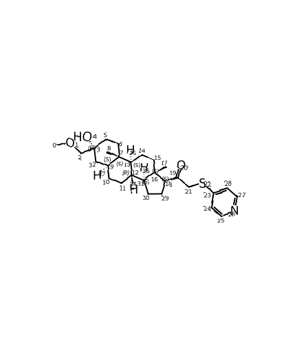 COC[C@@]1(O)CC[C@@]2(C)[C@@H](CC[C@@H]3[C@@H]2CC[C@]2(C)[C@@H](C(=O)CSc4ccncc4)CC[C@@H]32)C1